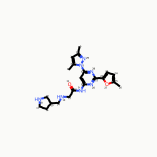 Cc1cc(C)n(-c2cc(NC(=O)CNCC3CCNC3)nc(-c3ccc(C)o3)n2)n1